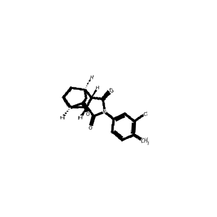 Cc1ccc(N2C(=O)[C@H]3[C@@H]4CC[C@@H](C(=O)C4)[C@H]3C2=O)cc1Cl